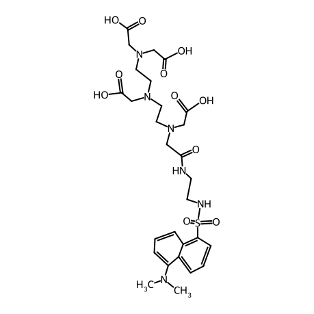 CN(C)c1cccc2c(S(=O)(=O)NCCNC(=O)CN(CCN(CCN(CC(=O)O)CC(=O)O)CC(=O)O)CC(=O)O)cccc12